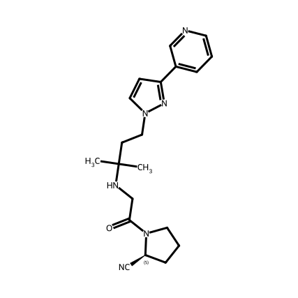 CC(C)(CCn1ccc(-c2cccnc2)n1)NCC(=O)N1CCC[C@H]1C#N